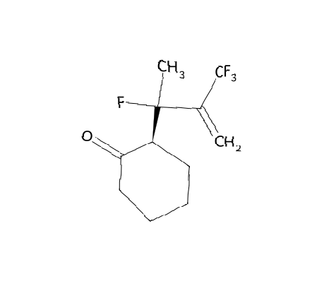 C=C(C(F)(F)F)C(C)(F)[C@H]1CCCCC1=O